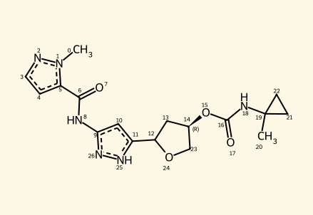 Cn1nccc1C(=O)Nc1cc(C2C[C@@H](OC(=O)NC3(C)CC3)CO2)[nH]n1